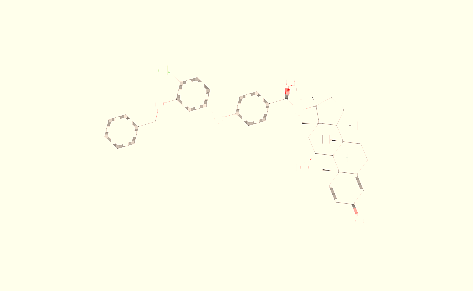 C[C@]12C=CC(=O)C=C1CC[C@H]1[C@@H]3CC[C@](OC(=O)c4ccc(Oc5ccc(Cl)c(OCc6ccccc6)c5)cc4)(C(=O)O)[C@@]3(C)C[C@H](O)[C@@]12F